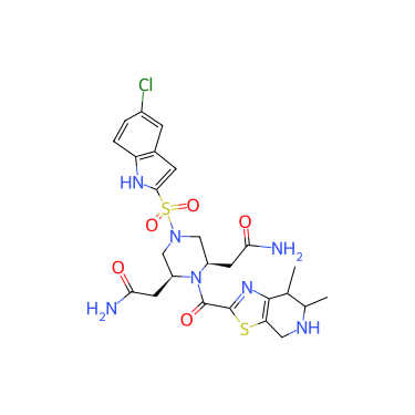 CC1NCc2sc(C(=O)N3[C@H](CC(N)=O)CN(S(=O)(=O)c4cc5cc(Cl)ccc5[nH]4)C[C@@H]3CC(N)=O)nc2C1C